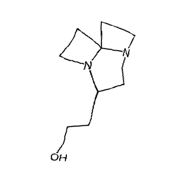 OCCC1CN2CCC23CCN13